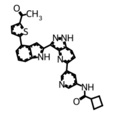 CC(=O)c1ccc(-c2cccc3[nH]c(-c4n[nH]c5ccc(-c6cncc(NC(=O)C7CCC7)c6)nc45)cc23)s1